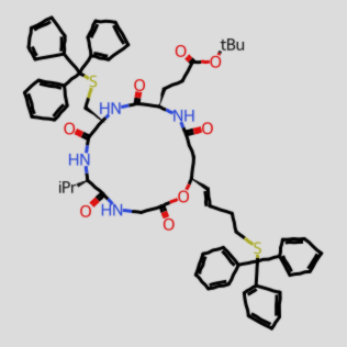 CC(C)[C@H]1NC(=O)[C@@H](CSC(c2ccccc2)(c2ccccc2)c2ccccc2)NC(=O)[C@@H](CCC(=O)OC(C)(C)C)NC(=O)C[C@@H](C=CCCSC(c2ccccc2)(c2ccccc2)c2ccccc2)OC(=O)CNC1=O